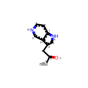 CCCCC(=O)Cc1c[nH]c2ccncc12